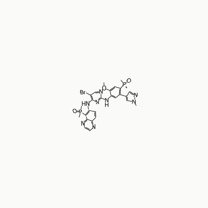 COc1cc(P(C)(C)=O)c(-c2cnn(C)c2)cc1Nc1ncc(Br)c(Nc2ccc3nccnc3c2P(C)(C)=O)n1